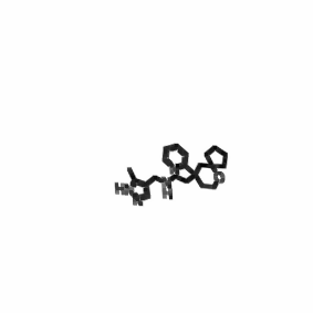 Cc1[nH]ncc1CNCCC1(c2ccccn2)CCOC2(CCCC2)C1